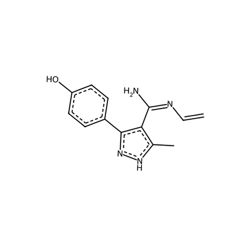 C=C/N=C(/N)c1c(-c2ccc(O)cc2)n[nH]c1C